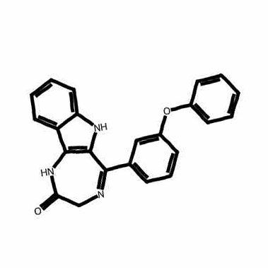 O=C1CN=C(c2cccc(Oc3ccccc3)c2)c2[nH]c3ccccc3c2N1